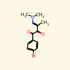 CC(=CN(C)C)C(=O)C(=O)c1ccc(Br)cc1